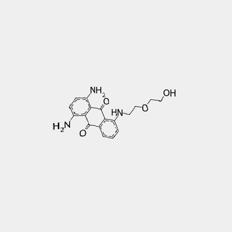 Nc1ccc(N)c2c1C(=O)c1cccc(NCCOCCO)c1C2=O